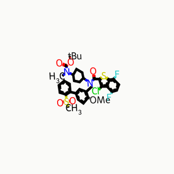 COc1ccc(-c2ccccc2S(C)(=O)=O)cc1CN(C(=O)c1sc2c(F)ccc(F)c2c1Cl)C1CCC(N(C)C(=O)OC(C)(C)C)CC1